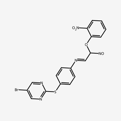 O=NC(C=Nc1ccc(Sc2ncc(Br)cn2)cc1)Oc1ccccc1[N+](=O)[O-]